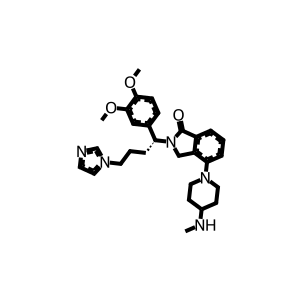 CNC1CCN(c2cccc3c2CN([C@H](CCCn2ccnc2)c2ccc(OC)c(OC)c2)C3=O)CC1